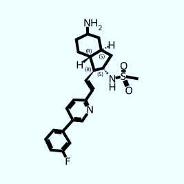 CS(=O)(=O)N[C@H]1C[C@@H]2CC(N)CC[C@H]2[C@@H]1C=Cc1ccc(-c2cccc(F)c2)cn1